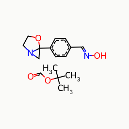 CC(C)(C)OC=O.ON=Cc1ccc(C23CN2CCO3)cc1